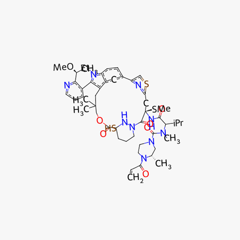 C=CC(=O)N1CCN(C(=O)N(C)C(C(=O)N[C@@]2(SC)Cc3nc(cs3)-c3ccc4c(c3)c(c(-c3cccnc3[C@H](C)OC)n4CC)CC(C)(C)COC(=O)[C@@]3(S)CCCN(N3)C2=O)C(C)C)C[C@@H]1C